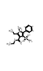 CCOC(=O)c1c(S(N)(=O)=O)c(-c2ccccc2)n(C)c1CC